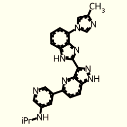 Cc1cn(-c2cccc3[nH]c(-c4n[nH]c5ccc(-c6cncc(NC(C)C)c6)nc45)nc23)cn1